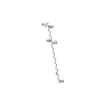 CNCCCCNC(=O)CCCCCCCCCCSCCO